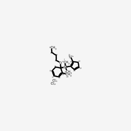 CCCCOC1([Si](C)(C)C2=[C]([Ti+2])CC=C2)CC=CC=C1C.[Cl-].[Cl-]